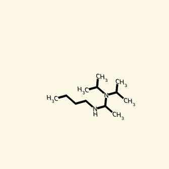 CCCCNC(C)N(C(C)C)C(C)C